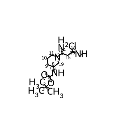 CC(C)(C)OC(=O)N[C@@H]1CCCN(C(N)CC(=N)Cl)C1